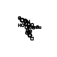 CCCCOC(=O)O[C@]1(C(=O)COS(=O)(=O)c2ccc(Cl)cc2)CC[C@H]2[C@@H]3CCC4=CC(=O)C=C[C@]4(C)[C@@]3(Cl)C(O)C[C@@]21C